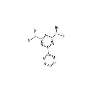 BrC(Br)c1nc(-c2ccccc2)nc(C(Br)Br)n1